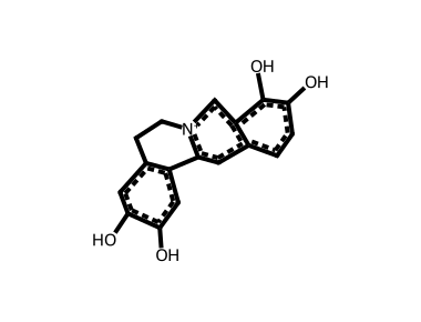 Oc1cc2c(cc1O)-c1cc3ccc(O)c(O)c3c[n+]1CC2